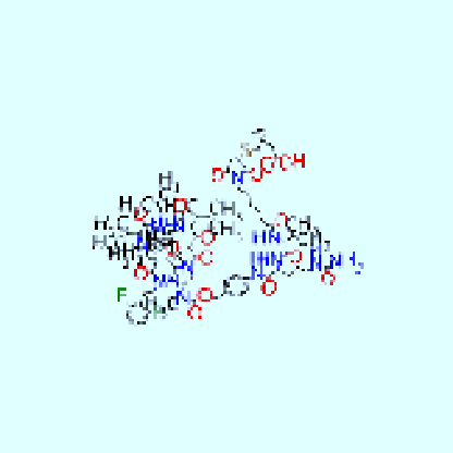 CC[C@H](C)C([C@@H](CC(=O)N1C[C@@H](N(C)C(=O)OCc2ccc(NC(=O)C(CCCNC(N)=O)NC(=O)[C@@H](NC(=O)CCCCCN3C(=O)CC(SCC4(CC(=O)O)CC4)C3=O)C(C)C)cc2)C[C@H]1[C@H](OC)[C@@H](C)C(=O)NCCc1c(F)cccc1F)OC)N(C)C(=O)[C@@H](NC(=O)[C@H](C(C)C)N(C)C)C(C)C